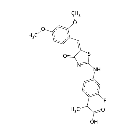 COc1ccc(C=C2SC(Nc3ccc(C(C)C(=O)O)c(F)c3)=NC2=O)c(OC)c1